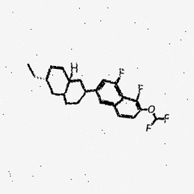 CC[C@@H]1CC[C@@H]2CC(c3cc(F)c4c(F)c(OC(F)F)ccc4c3)CCC2C1